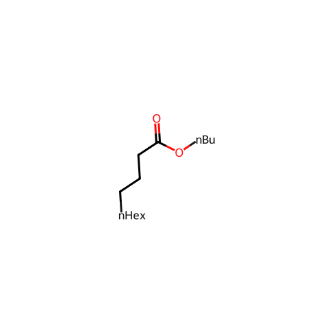 CCCCCCCCCC(=O)OCCCC